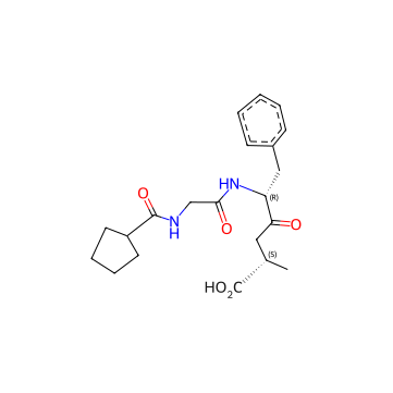 C[C@@H](CC(=O)[C@@H](Cc1ccccc1)NC(=O)CNC(=O)C1CCCC1)C(=O)O